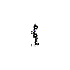 Cc1cccc(/C=C/C(=O)c2ccc(OCCCC(=O)O)cc2)c1